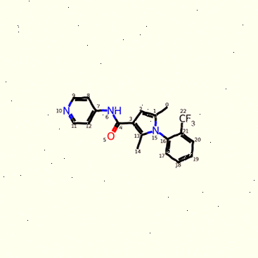 Cc1cc(C(=O)Nc2ccncc2)c(C)n1-c1ccccc1C(F)(F)F